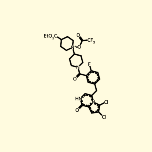 CCOC(=O)C1CC[N+](OC(=O)C(F)(F)F)(C2CCN(C(=O)c3cc(Cc4c[nH]c(=O)c5cc(Cl)c(Cl)n45)ccc3F)CC2)CC1